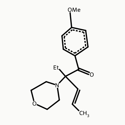 C/C=C/C(CC)(C(=O)c1ccc(OC)cc1)N1CCOCC1